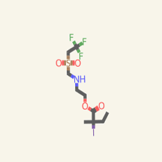 CCC(C)(I)C(=O)OCCNCS(=O)(=O)CC(F)(F)F